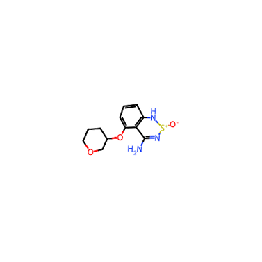 NC1=N[S+]([O-])Nc2cccc(O[C@@H]3CCCOC3)c21